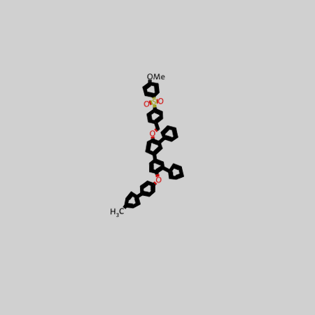 COc1ccc(S(=O)(=O)c2ccc(COc3ccc(-c4ccc(Oc5ccc(-c6ccc(C)cc6)cc5)c(-c5ccccc5)c4)cc3-c3ccccc3)cc2)cc1